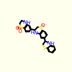 O=S1(=O)CCNc2cc(C3C[S+]([O-])c4ccc(C5CSc6ccccc6N5)cc4N3)ccc21